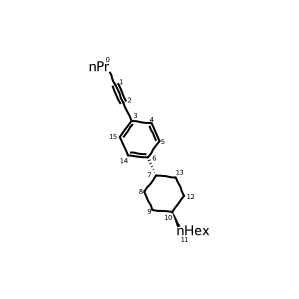 CCCC#Cc1ccc([C@H]2CC[C@H](CCCCCC)CC2)cc1